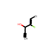 C#CC(O)/C(F)=C/CC